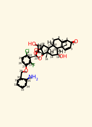 C[C@]12C=CC(=O)C=C1CC[C@@H]1[C@@H]2[C@@H](O)C[C@@]2(C)[C@H]1C[C@H]1O[C@H](c3c(Cl)ccc(OCc4ccccc4N)c3F)O[C@]12C(=O)CO